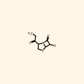 CCC(=O)C1CSC2C(Cl)C(=O)N12